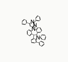 c1ccc(-c2cc(N3c4ccccc4C4c5cccc(-c6ccccc6)c5N(c5ccccc5)C4c4ccccc43)nc(-c3ccccc3)n2)cc1